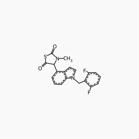 CN1C(=O)SC(=O)C1c1cccc2c1ccn2Cc1c(F)cccc1F